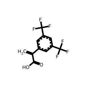 C=C(C(=O)O)c1cc(C(F)(F)F)cc(C(F)(F)F)c1